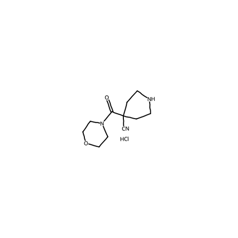 Cl.N#CC1(C(=O)N2CCOCC2)CCNCC1